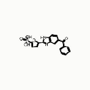 O=C(c1ccccc1)c1ccc2[nH]c(-c3ccc(P(=O)(O)O)o3)nc2c1